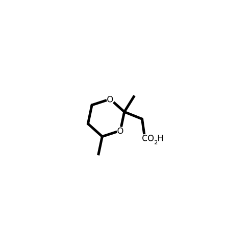 CC1CCOC(C)(CC(=O)O)O1